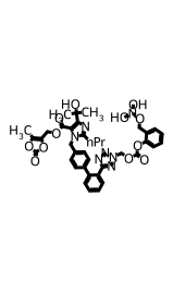 CCCc1nc(C(C)(C)O)c(C(=O)OCc2oc(=O)oc2C)n1Cc1ccc(-c2ccccc2-c2nnn(COC(=O)Oc3ccccc3CON(O)O)n2)cc1